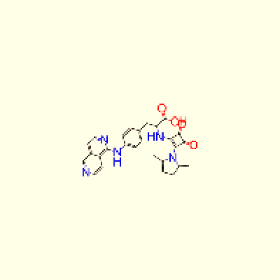 CC1CCC(C)N1c1c(NC(Cc2ccc(Nc3nccc4cnccc34)cc2)C(=O)O)c(=O)c1=O